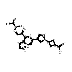 C=C(/C=N\N(C)C(CC)CC)c1nc(-c2cnn(C3CC(C(N)=O)C3)c2)cn2nccc12